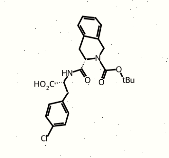 CC(C)(C)OC(=O)N1Cc2ccccc2C[C@H]1C(=O)N[C@H](Cc1ccc(Cl)cc1)C(=O)O